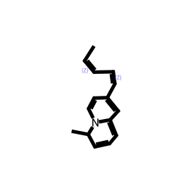 C/C=C\C=C/C1=CC2=CC=CC(C)N2C=C1